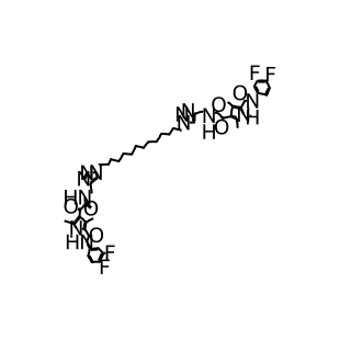 Cc1c(C(=O)C(=O)NCc2cn(CCCCCCCCCCCCCCn3cc(CNC(=O)C(=O)c4c(C)c(C(=O)Nc5ccc(F)c(F)c5)n(C)c4C)nn3)nn2)c(C)n(C)c1C(=O)Nc1ccc(F)c(F)c1